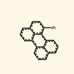 [CH2]CCc1ccc2cccc3c4cccc5cccc(c1c23)c54